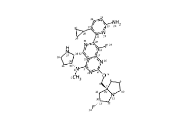 CN(c1nc(OC[C@@]23CCCN2C[C@H](F)C3)nc2c(F)c(-c3nc(N)ccc3C3CC3)ncc12)[C@@H]1CCNC1